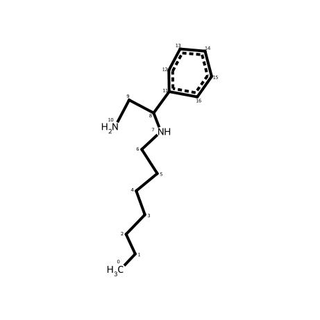 CCCCCCCNC(CN)c1ccccc1